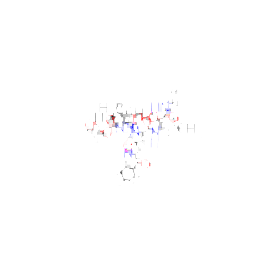 CCC[C@H](NC(=O)[C@@H]1CC2(CC(C(=O)c3ccccc3)=NO2)CN1C(=O)[C@@H](NC(=O)O[C@H]1CCOC1)C(C)(C)C)C(=O)C(=O)NC1CC1